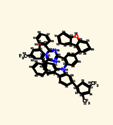 FC(F)(F)c1cc(-c2ccc3c4ccc(-c5cc(C(F)(F)F)cc(C(F)(F)F)c5)cc4n(-c4ccc(-c5cccc6oc7ccccc7c56)cc4-c4nc(-c5ccccc5)nc(-c5ccccc5)n4)c3c2)cc(C(F)(F)F)c1